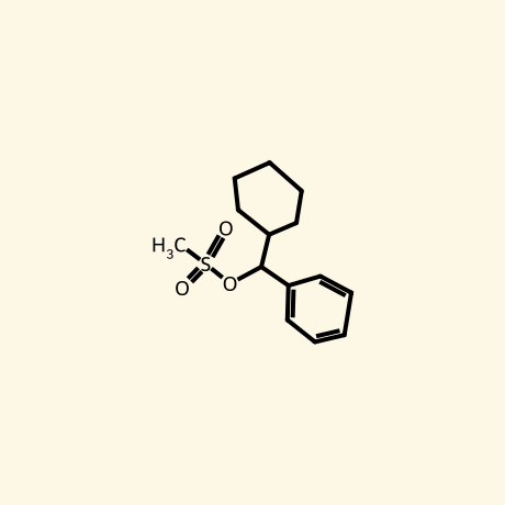 CS(=O)(=O)OC(c1ccccc1)C1CCCCC1